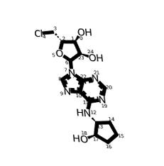 O[C@@H]1[C@@H](CCl)OC(n2cnc3c(N[C@@H]4CCC[C@H]4O)ncnc32)[C@@H]1O